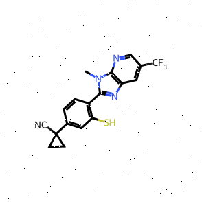 Cn1c(-c2ccc(C3(C#N)CC3)cc2S)nc2cc(C(F)(F)F)cnc21